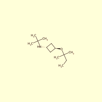 CCC(C)(C)O[C@H]1C[C@H](NC(C)(C)C)C1